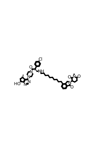 C[C@@H]1C[C@@H](O)c2ncnc(N3CCN(C(=O)[C@H](CNCCCCCCCCCCc4cccc5c4CN(C4CCC(=O)N(C)C4=O)C5=O)c4ccc(Cl)cc4)CC3)c21